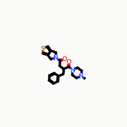 CN1CCN(C(=O)C(CC(=O)N2Cc3cscc3C2)Cc2ccccc2)CC1